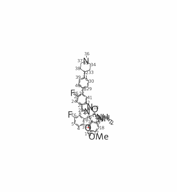 COCOc1ccc(F)cc1C(C(N)=O)(c1ccccc1N)n1cc2cc(F)c(-c3ccc(C4CCN(C)CC4)cc3)cc2n1